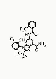 Cc1c(Cl)cccc1-n1c(C2(C)CC2)nc2c(C(N)=O)cc(NC(=O)c3ccccc3C(F)(F)F)cc21